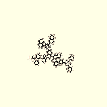 CC1(C)c2ccccc2-c2c(-c3cccc4c3oc3c5cc(-c6nc(-c7ccc8ccccc8c7)nc(-c7cccc8ccccc78)n6)ccc5c(-c5cc6cccc(-c7cccc(-c8nc(-c9ccccc9)nc(-c9ccccc9)n8)c7)c6c6c5oc5ccccc56)cc43)cccc21